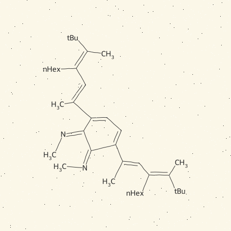 CCCCCCC(/C=C(\C)C1=CC=C(/C(C)=C/C(CCCCCC)=C(\C)C(C)(C)C)C(=N/C)/C1=N\C)=C(/C)C(C)(C)C